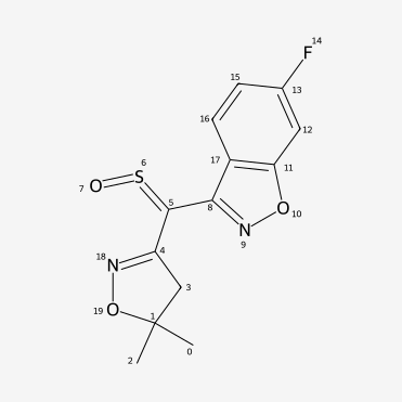 CC1(C)CC(C(=S=O)c2noc3cc(F)ccc23)=NO1